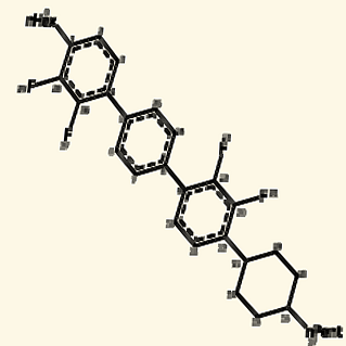 CCCCCCc1ccc(-c2ccc(-c3ccc(C4CCC(CCCCC)CC4)c(F)c3F)cc2)c(F)c1F